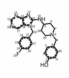 Oc1ccc(CN2CCC(Nc3nc4ncncc4n3Cc3ccc(F)cc3)CC2)cc1